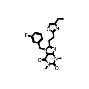 CCc1coc(CCc2nc3c(c(=O)n(C)c(=O)n3C)n2Cc2cccc(F)c2)n1